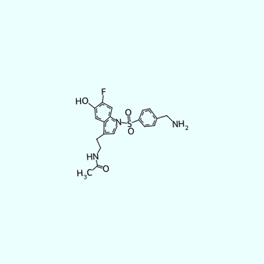 CC(=O)NCCc1cn(S(=O)(=O)c2ccc(CN)cc2)c2cc(F)c(O)cc12